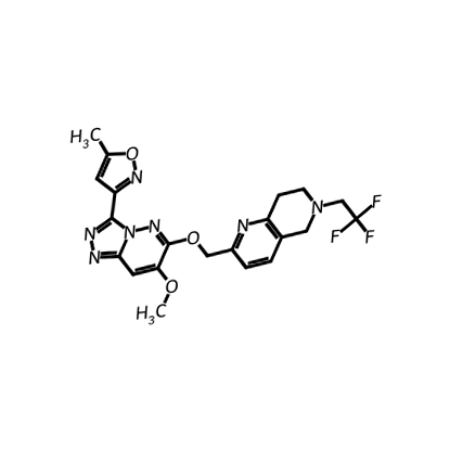 COc1cc2nnc(-c3cc(C)on3)n2nc1OCc1ccc2c(n1)CCN(CC(F)(F)F)C2